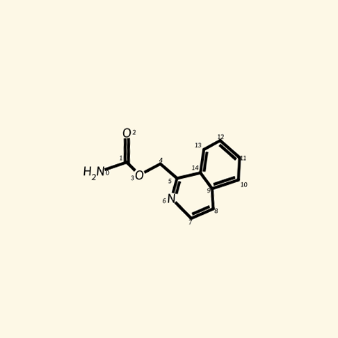 NC(=O)OCc1nccc2ccccc12